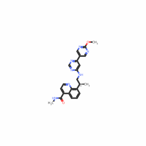 CNC(=O)c1ccnc2c([C@H](C)CNc3cc(-c4cnc(OC)nc4)ncn3)cccc12